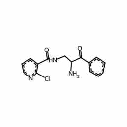 NC(CNC(=O)c1cccnc1Cl)C(=O)c1ccccc1